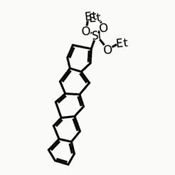 CCO[Si](OCC)(OCC)c1ccc2cc3cc4cc5ccccc5cc4cc3cc2c1